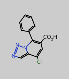 O=C(O)c1cc(Cl)c2cnnn2c1-c1ccccc1